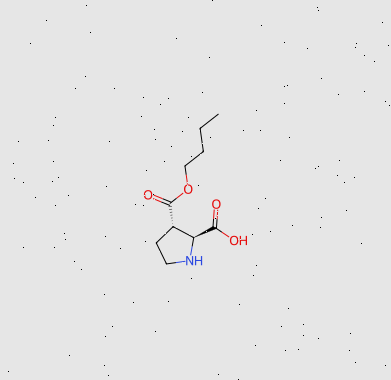 CCCCOC(=O)[C@H]1CCN[C@@H]1C(=O)O